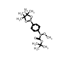 CON(C(=O)OC(C)(C)C)c1ccc(B2OC(C)(C)C(C)(C)O2)cc1